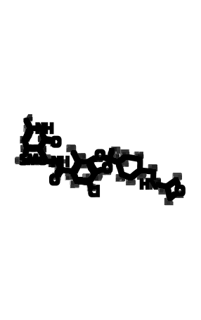 CSc1cc(C)[nH]c(=O)c1CNC(=O)c1cc(Cl)c2c(c1C)OC(C)(C1CCC(CNC3COC3)CC1)O2